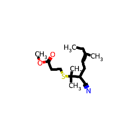 CCC(C)=CCC(C#N)C(C)(C)SCCC(=O)OC